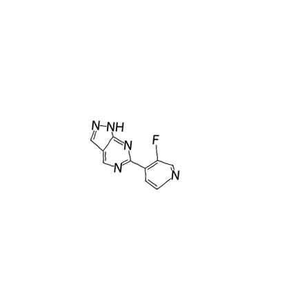 Fc1cnccc1-c1ncc2cn[nH]c2n1